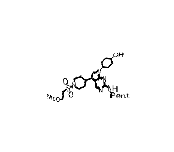 CCC[C@H](C)Nc1ncc2c(C3CCN(S(=O)(=O)CCOC)CC3)cn([C@H]3CC[C@H](O)CC3)c2n1